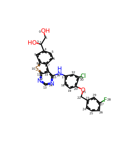 OCC(O)c1ccc2c(c1)sc1ncnc(Nc3ccc(OCc4cccc(F)c4)c(Cl)c3)c12